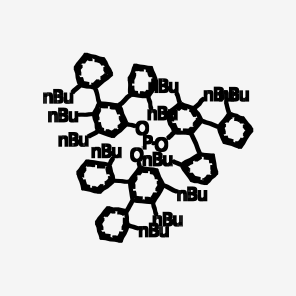 CCCCc1ccccc1-c1c(OP(Oc2cc(CCCC)c(CCCC)c(-c3ccccc3CCCC)c2-c2ccccc2CCCC)Oc2cc(CCCC)c(CCCC)c(-c3ccccc3CCCC)c2-c2ccccc2CCCC)cc(CCCC)c(CCCC)c1-c1ccccc1CCCC